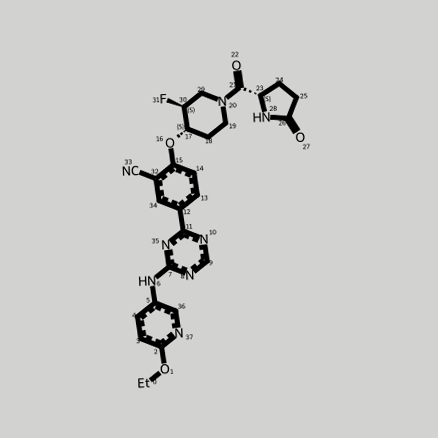 CCOc1ccc(Nc2ncnc(-c3ccc(O[C@H]4CCN(C(=O)[C@@H]5CCC(=O)N5)C[C@@H]4F)c(C#N)c3)n2)cn1